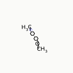 C/C=C/[C@H]1CC[C@H](C2CCC(COCCC)CC2)CC1